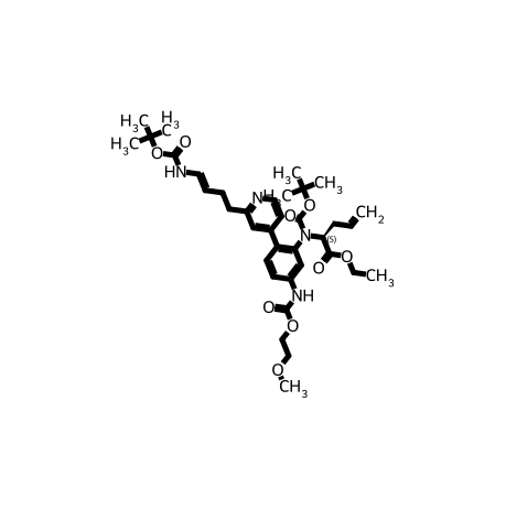 C=CC[C@@H](C(=O)OCC)N(C(=O)OC(C)(C)C)c1cc(NC(=O)OCCOC)ccc1-c1ccnc(CCC=CNC(=O)OC(C)(C)C)c1